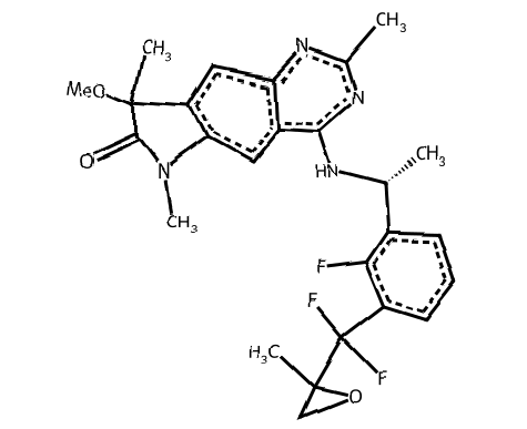 COC1(C)C(=O)N(C)c2cc3c(N[C@H](C)c4cccc(C(F)(F)C5(C)CO5)c4F)nc(C)nc3cc21